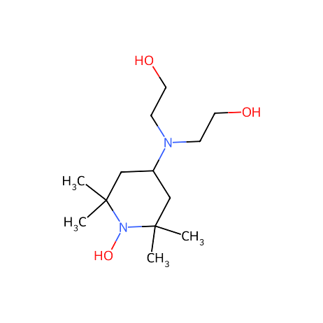 CC1(C)CC(N(CCO)CCO)CC(C)(C)N1O